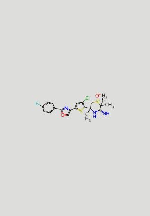 CC1(C)C(=N)N[C@](C)(c2sc(-c3coc(-c4ccc(F)cc4)n3)cc2Cl)C[S+]1[O-]